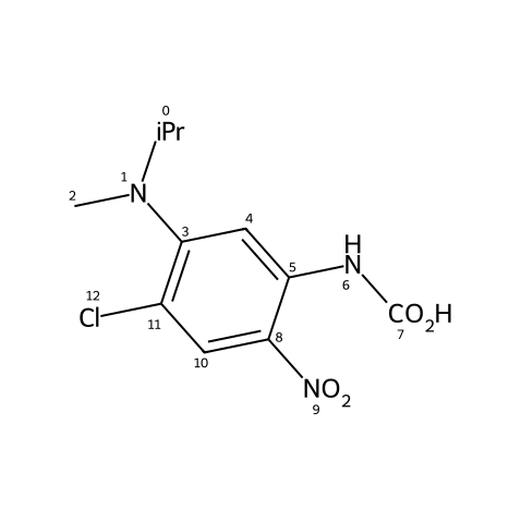 CC(C)N(C)c1cc(NC(=O)O)c([N+](=O)[O-])cc1Cl